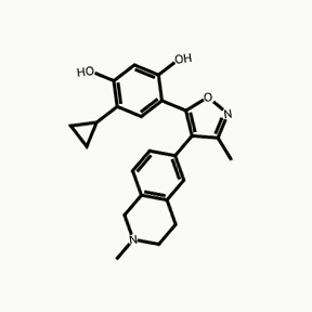 Cc1noc(-c2cc(C3CC3)c(O)cc2O)c1-c1ccc2c(c1)CCN(C)C2